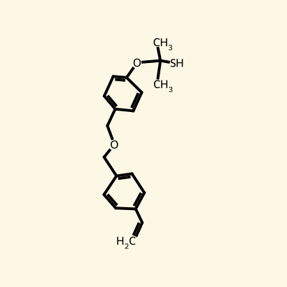 C=Cc1ccc(COCc2ccc(OC(C)(C)S)cc2)cc1